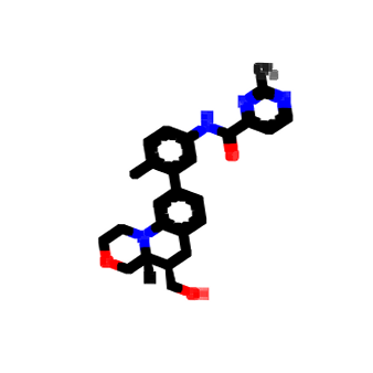 Cc1ccc(NC(=O)c2ccnc(C(F)(F)F)n2)cc1-c1ccc2c(c1)N1CCOC[C@H]1[C@H](CO)C2